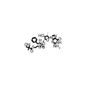 C[C@H]1[C@H](O)[C@@H](COP(=O)(NCc2ccccc2)OCCSC(=O)C(C)(C)CO)O[C@H]1n1cnc2c(=O)[nH]c(N)nc21